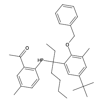 CCCCC(CC)(Pc1ccc(C)cc1C(C)=O)c1cc(C(C)(C)C)cc(C)c1OCc1ccccc1